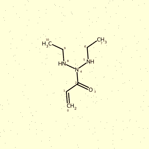 C=CC(=O)N(NCC)NCC